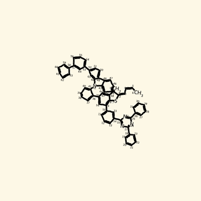 C=c1/c(=C\C=C/C)sc2c(-c3cccc(-c4nc(-c5ccccc5)nc(-c5ccccc5)n4)c3)cc(-c3ccccc3-n3c4ccccc4c4ccc(-c5cccc(-c6ccccc6)c5)cc43)cc12